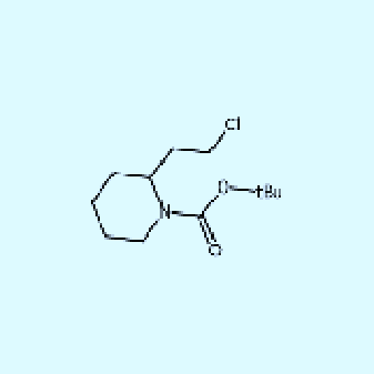 CC(C)(C)OC(=O)N1CCCCC1CCCl